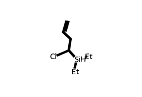 C=CCC(Cl)[SiH](CC)CC